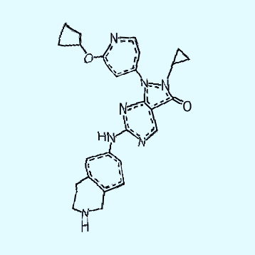 O=c1c2cnc(Nc3ccc4c(c3)CCNC4)nc2n(-c2ccnc(OC3CCC3)c2)n1C1CC1